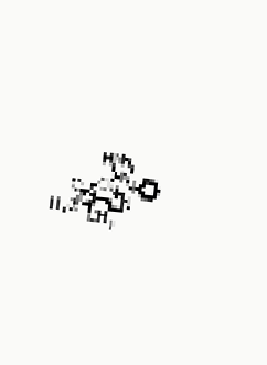 Cc1c(-c2ccnc(N(c3ccccc3)N3CCNCC3Cl)n2)sc(=O)n1C